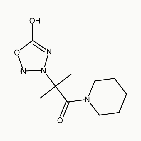 CC(C)(C(=O)N1CCCCC1)N1[N]OC(O)=N1